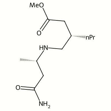 CCC[C@H](CN[C@@H](C)CC(N)=O)CC(=O)OC